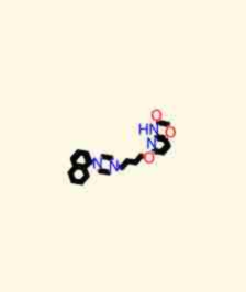 O=C1COc2ccc(OCCCCN3CCN(c4cccc5c4CCCC5)CC3)nc2N1